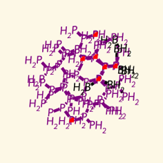 BPP(B)P(P(P)P)P(P(P(P)P)P(P)P)P(P(P(P(P)P)P(P)P)P(P(P)P)P(P)P)P(P(P(P(P)P)P(P)P)P(P(P)P)P(P)P)P(P(P(P)P)P(P)P)P(P(P)P)P(P(B)B)P(B)B